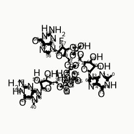 Cc1nc2c(ncn2[C@@H]2O[C@H](COP(=O)(O)OC3[C@@H](COP(=O)(O)OP(=O)(O)OP(=O)(O)OC[C@H]4O[C@@H](n5c[n+](C)c6c(=O)[nH]c(N)nc65)C(O)[C@H]4O)O[C@@H](n4cnc5c(=O)[nH]c(N)nc54)[C@H]3F)C(O)[C@@H]2O)c(=O)[nH]1